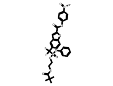 CC(C)(C)C(=O)SCCOP(=O)(Oc1ccccc1)C(F)(F)c1ccc2sc(C(=O)Oc3ccc([N+](=O)[O-])cc3)cc2c1